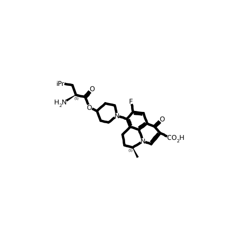 CC(C)C[C@H](N)C(=O)OC1CCN(c2c(F)cc3c(=O)c(C(=O)O)cn4c3c2CC[C@@H]4C)CC1